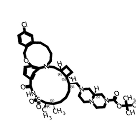 C[C@@H]1[C@@H](C)CCC[C@H](CN2CCN3CCN(C(=O)OC(C)(C)C)C[C@@H]3C2)[C@@H]2CC[C@H]2CN2CCCCc3cc(Cl)ccc3COc3ccc(cc32)C(=O)NS1(=O)=O